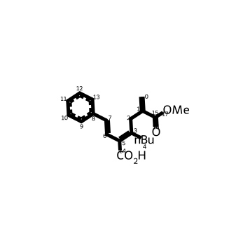 C=C(CC(CCCC)=C(C=Cc1ccccc1)C(=O)O)C(=O)OC